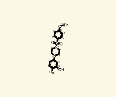 CC(=O)c1ccc(N2CCN(S(=O)(=O)c3ccc(OC(C)C)cc3)CC2)cc1O